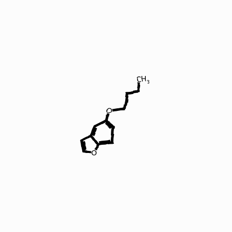 CCCCOc1ccc2occc2c1